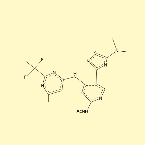 CC(=O)Nc1cc(Nc2cc(C)nc(C(C)(F)F)n2)c(-c2nsc(N(C)C)n2)cn1